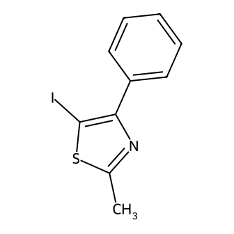 Cc1nc(-c2ccccc2)c(I)s1